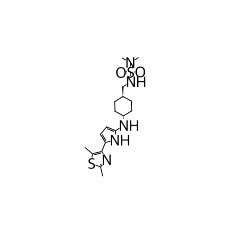 Cc1nc(-c2ccc(N[C@H]3CC[C@H](CNS(=O)(=O)N(C)C)CC3)[nH]2)c(C)s1